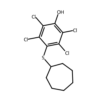 Oc1c(Cl)c(Cl)c(SC2CCCCCC2)c(Cl)c1Cl